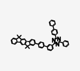 CC1(C)c2ccccc2-c2cc3c(cc21)-c1ccc(-c2ccc(-c4cccc(-c5nc(-c6ccccc6)nc(-c6ccc(-c7ccccc7)cc6)n5)c4)cc2)cc1C3(C)C